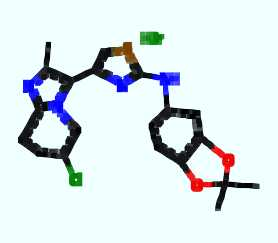 Br.Cc1nc2ccc(Cl)cn2c1-c1csc(Nc2ccc3c(c2)OC(C)(C)O3)n1